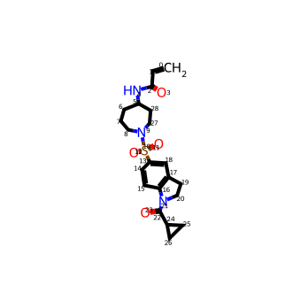 C=CC(=O)NC1CCCN(S(=O)(=O)c2ccc3c(c2)CCN3C(=O)C2CC2)CC1